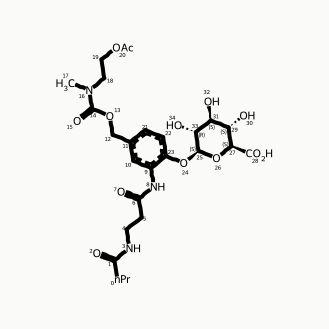 CCCC(=O)NCCC(=O)Nc1cc(COC(=O)N(C)CCOC(C)=O)ccc1O[C@@H]1O[C@H](C(=O)O)[C@@H](O)[C@H](O)[C@H]1O